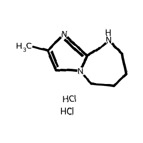 Cc1cn2c(n1)NCCCC2.Cl.Cl